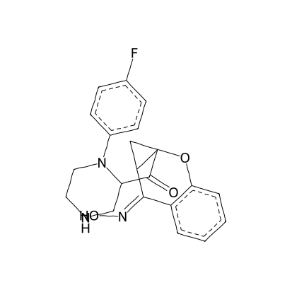 O=C(C1CNCCN1c1ccc(F)cc1)C12CC1C(=NO)c1ccccc1O2